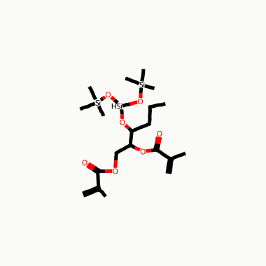 C=C(C)C(=O)OCC(OC(=O)C(=C)C)C(CCC)O[SiH](O[Si](C)(C)C)O[Si](C)(C)C